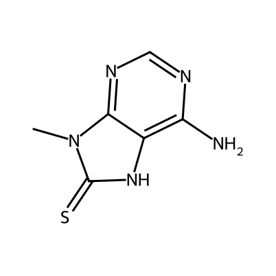 Cn1c(=S)[nH]c2c(N)ncnc21